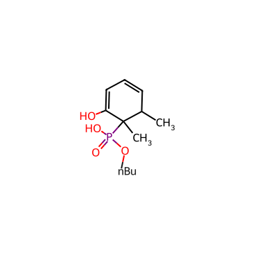 CCCCOP(=O)(O)C1(C)C(O)=CC=CC1C